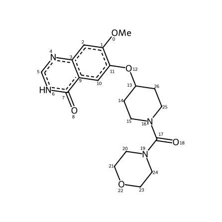 COc1cc2nc[nH]c(=O)c2cc1OC1CCN(C(=O)N2CCOCC2)CC1